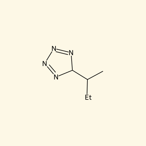 CCC(C)C1N=NN=N1